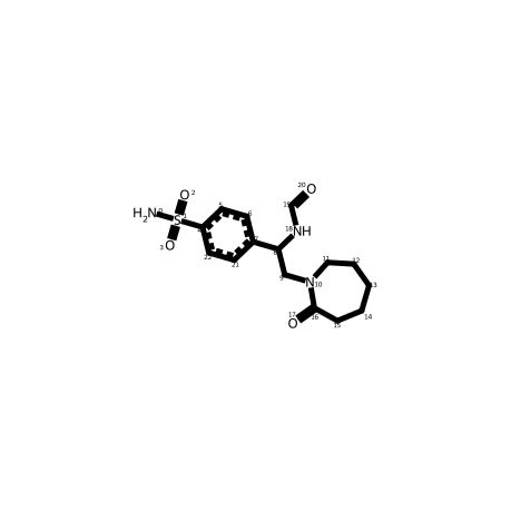 NS(=O)(=O)c1ccc(C(CN2CCCCCC2=O)NC=O)cc1